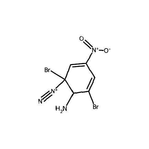 N#[N+]C1(Br)C=C([N+](=O)[O-])C=C(Br)C1N